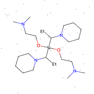 CCC(N1CCCCC1)[Si](OCCN(C)C)(OCCN(C)C)C(CC)N1CCCCC1